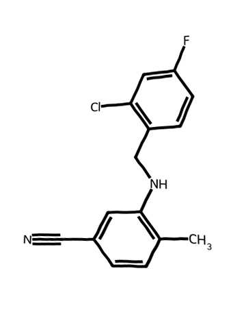 Cc1ccc(C#N)cc1NCc1ccc(F)cc1Cl